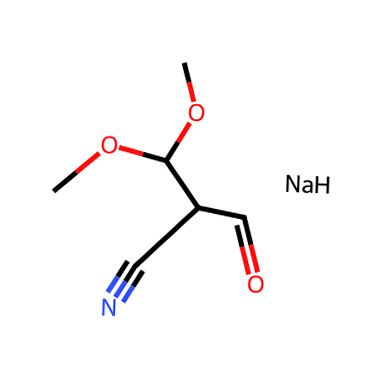 COC(OC)C(C#N)C=O.[NaH]